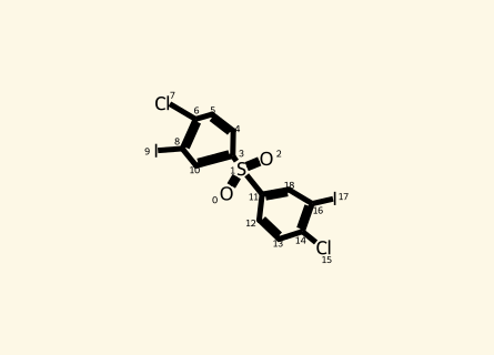 O=S(=O)(c1ccc(Cl)c(I)c1)c1ccc(Cl)c(I)c1